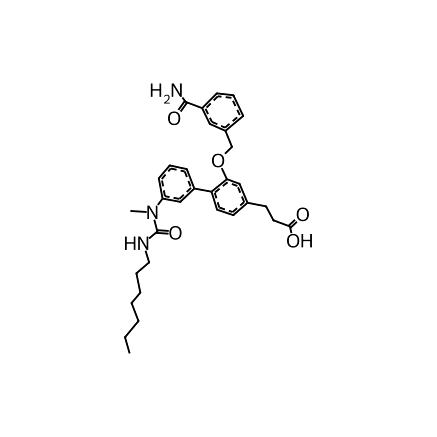 CCCCCCCNC(=O)N(C)c1cccc(-c2ccc(CCC(=O)O)cc2OCc2cccc(C(N)=O)c2)c1